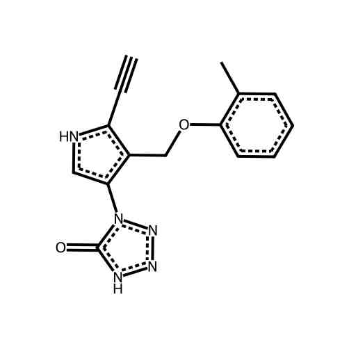 C#Cc1[nH]cc(-n2nn[nH]c2=O)c1COc1ccccc1C